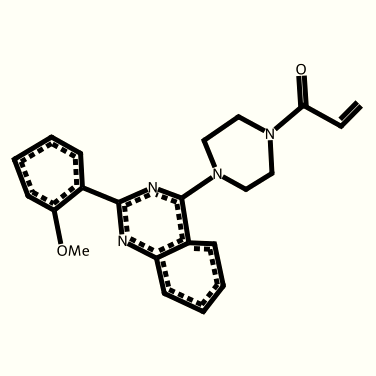 C=CC(=O)N1CCN(c2nc(-c3ccccc3OC)nc3ccccc23)CC1